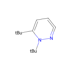 CC(C)(C)C1=CC=C=NN1C(C)(C)C